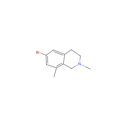 Cc1cc(Br)cc2c1CN(C)CC2